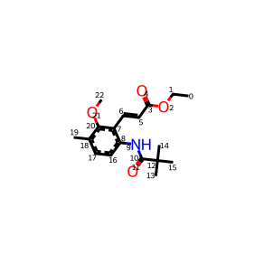 CCOC(=O)C=Cc1c(NC(=O)C(C)(C)C)ccc(C)c1OC